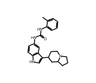 Cc1ccccc1NC(=O)Nc1ccc2[nH]cc(C3CCN4CCCC4C3)c2c1